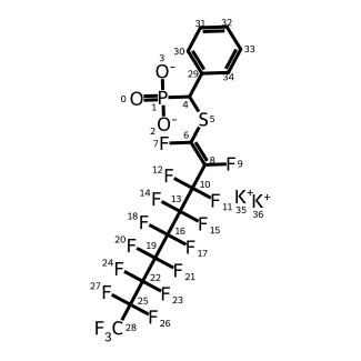 O=P([O-])([O-])C(SC(F)=C(F)C(F)(F)C(F)(F)C(F)(F)C(F)(F)C(F)(F)C(F)(F)C(F)(F)F)c1ccccc1.[K+].[K+]